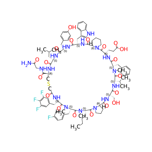 CCCC[C@H]1C(=O)N2CCC[C@@H]2C(=O)N[C@@H](CO)C(=O)N[C@@H](C(C)C)C(=O)N(C)[C@@H](Cc2ccccc2)C(=O)N[C@@H](CCC(=O)O)C(=O)N2CCCC[C@@H]2C(=O)N[C@@H](Cc2c[nH]c3ccccc23)C(=O)N[C@@H](Cc2ccc(O)cc2)C(=O)N[C@@H](CC(C)C)C(=O)N[C@H](C(=O)NCC(N)=O)CSCC(=O)N[C@@H](Cc2cc(F)c(F)c(F)c2)C(=O)N(C)[C@@H](Cc2ccc(F)cc2)C(=O)N1C